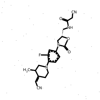 CC1CN(c2ccc(N3C[C@H](CNC(=O)CC#N)OC3=O)cc2F)CCC1=CC#N